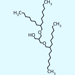 CCCCCCCC(CCCCCCC)COCC(CO)COCC(CCCCCCC)CCCCCCC